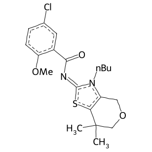 CCCCn1c2c(sc1=NC(=O)c1cc(Cl)ccc1OC)C(C)(C)COC2